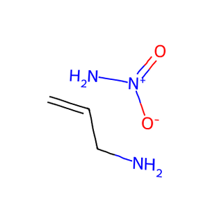 C=CCN.N[N+](=O)[O-]